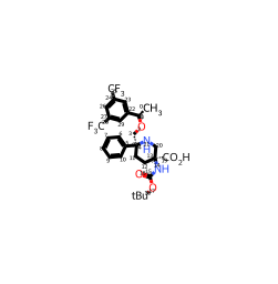 C[C@@H](OC[C@@]1(c2ccccc2)CC[C@@](NC(=O)OC(C)(C)C)(C(=O)O)CN1)c1cc(C(F)(F)F)cc(C(F)(F)F)c1